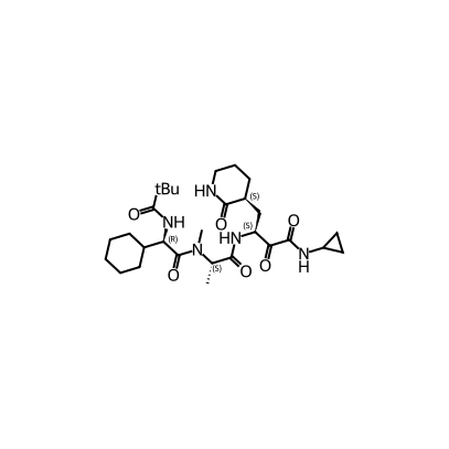 C[C@@H](C(=O)N[C@@H](C[C@@H]1CCCNC1=O)C(=O)C(=O)NC1CC1)N(C)C(=O)[C@H](NC(=O)C(C)(C)C)C1CCCCC1